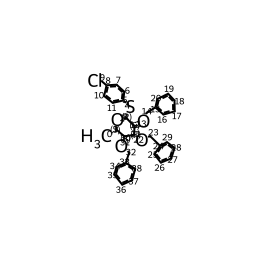 C[C@@H]1O[C@H](Sc2ccc(Cl)cc2)[C@@H](OCc2ccccc2)[C@H](OCc2ccccc2)[C@@H]1OCc1ccccc1